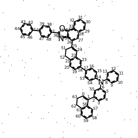 C1=C(c2cccc(N(c3ccccc3)c3ccc(-c4ccc5c(c4)C=C(c4cc6ccccc6c6oc(-c7ccc(-c8ccccc8)cc7)nc46)CC5)cc3)c2)c2ccccc2CC1